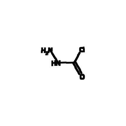 NNC(=O)Cl